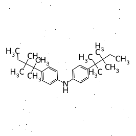 CCC(C)(C)C(C)(C)c1ccc(Nc2ccc(C(C)(C)C(C)(C)CC)cc2)cc1